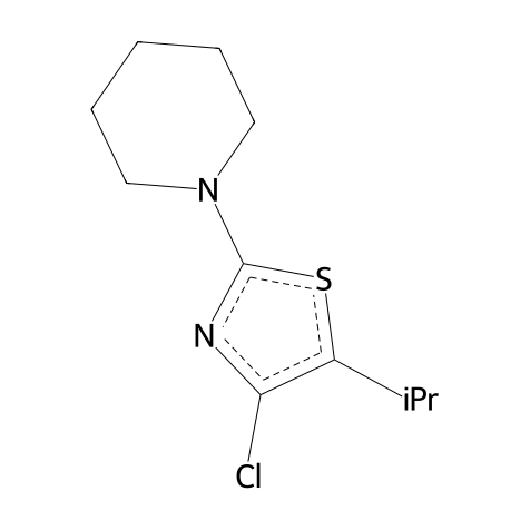 CC(C)c1sc(N2CCCCC2)nc1Cl